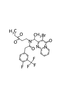 CCS(=O)(=O)CCN(C(=O)Cc1ccc(F)c(C(F)(F)F)c1)C(C)c1nc2ccccn2c(=O)c1Br